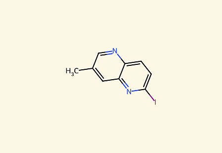 Cc1cnc2ccc(I)nc2c1